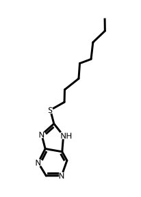 CCCCCCCCSc1nc2ncncc2[nH]1